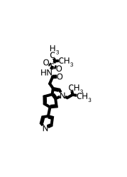 CC(C)Cn1cc(CC(=O)NS(=O)(=O)C(C)C)c2ccc(-c3ccncc3)cc21